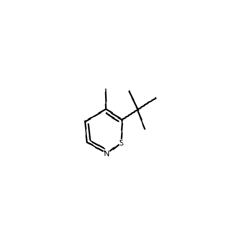 CC1=C(C(C)(C)C)SN=C=C1